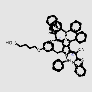 Cc1ccccc1-c1c2/c(=C(\C#N)c3nc4ccccc4s3)n(Bc3ccccc3)c(Cc3cccc(OCCCCS(=O)(=O)O)c3)c2/c(=C(\C#N)c2nc3ccccc3s2)n1B(c1ccccc1)c1ccccc1